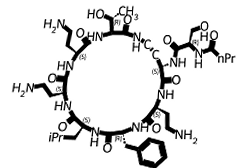 CCCC(=O)N[C@H](CO)C(=O)N[C@H]1CCNC(=O)C([C@@H](C)O)NC(=O)[C@H](CCN)NC(=O)[C@H](CCN)NC(=O)[C@H](CC(C)C)NC(=O)[C@@H](Cc2ccccc2)NC(=O)[C@H](CCN)NC1=O